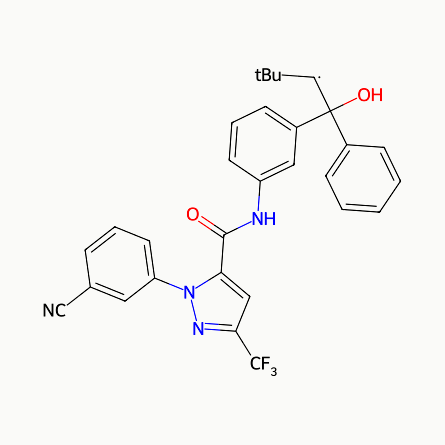 CC(C)(C)[CH]C(O)(c1ccccc1)c1cccc(NC(=O)c2cc(C(F)(F)F)nn2-c2cccc(C#N)c2)c1